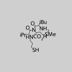 CCC(C)C(N)C(=O)N(C(=O)C(NCCCS)C(C)C)C(CCSC)C(=O)O